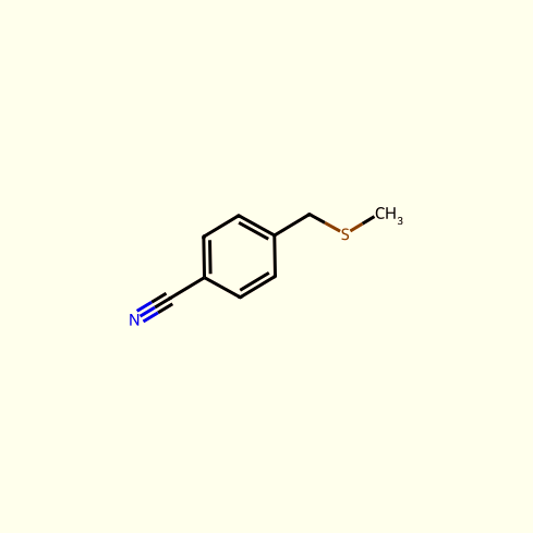 CSCc1ccc(C#N)cc1